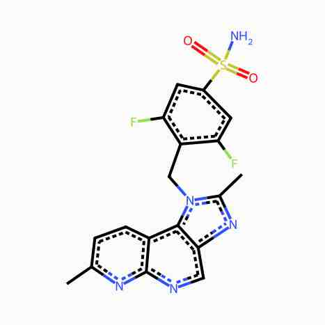 Cc1ccc2c(ncc3nc(C)n(Cc4c(F)cc(S(N)(=O)=O)cc4F)c32)n1